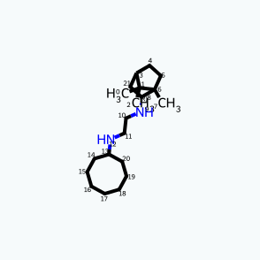 CC1(C)C2CCC1(C)[C@H](NCCNC1CCCCCCC1)C2